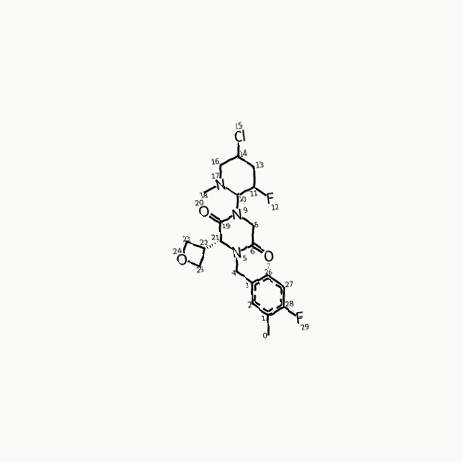 Cc1cc(CN2C(=O)CN(C3C(F)CC(Cl)CN3C)C(=O)[C@H]2C2COC2)ccc1F